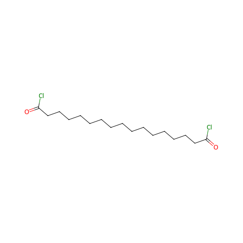 O=C(Cl)CCCCCCCCCCCCCCCC(=O)Cl